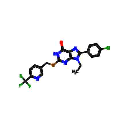 CCn1c(-c2ccc(Cl)cc2)nc2c(=O)[nH]c(SCc3ccc(C(F)(F)F)nc3)nc21